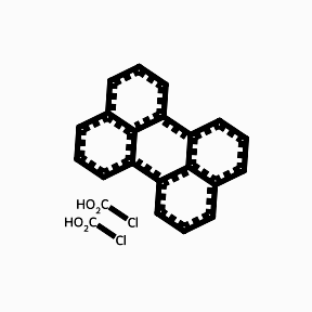 O=C(O)Cl.O=C(O)Cl.c1cc2cccc3c4cccc5cccc(c(c1)c23)c54